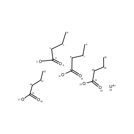 CCCC(=O)[O-].CCCC(=O)[O-].CCCC(=O)[O-].CCCC(=O)[O-].[U+4]